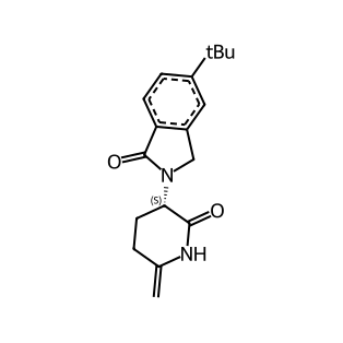 C=C1CC[C@H](N2Cc3cc(C(C)(C)C)ccc3C2=O)C(=O)N1